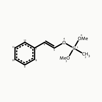 CO[Si](C)(OC)OC=Cc1ccccc1